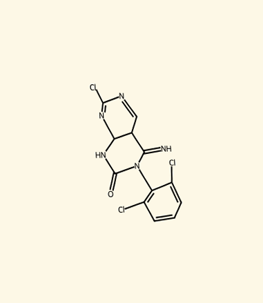 N=C1C2C=NC(Cl)=NC2NC(=O)N1c1c(Cl)cccc1Cl